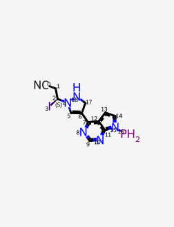 N#CC[C@H](I)N1C=C(c2ncnc3c2ccn3P)CN1